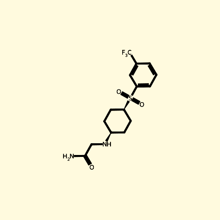 NC(=O)CN[C@H]1CC[C@@H](S(=O)(=O)c2cccc(C(F)(F)F)c2)CC1